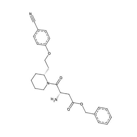 N#Cc1ccc(OCC[C@H]2CCCCN2C(=O)[C@@H](N)CC(=O)OCc2ccccc2)cc1